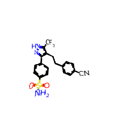 N#Cc1ccc(CCc2c(-c3ccc(S(N)(=O)=O)cc3)n[nH]c2C(F)(F)F)cc1